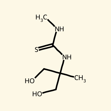 CNC(=S)NC(C)(CO)CO